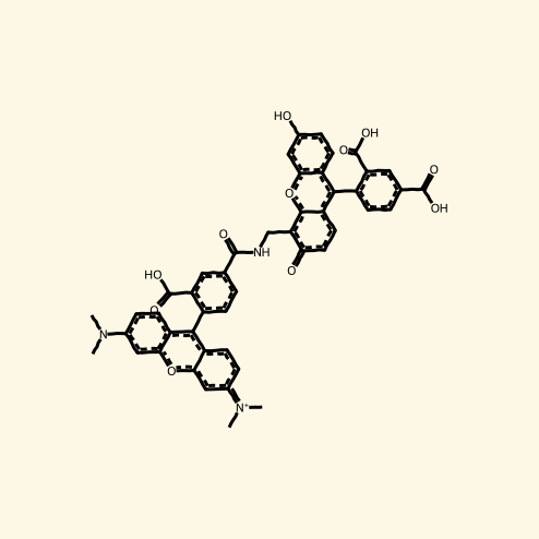 CN(C)c1ccc2c(-c3ccc(C(=O)NCc4c5oc6cc(O)ccc6c(-c6ccc(C(=O)O)cc6C(=O)O)c-5ccc4=O)cc3C(=O)O)c3ccc(=[N+](C)C)cc-3oc2c1